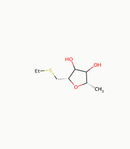 CCSC[C@H]1O[C@@H](C)C(O)C1O